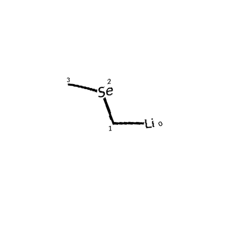 [Li][CH2][Se]C